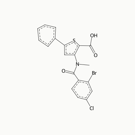 CN(C(=O)c1ccc(Cl)cc1Br)c1cc(-c2ccccc2)sc1C(=O)O